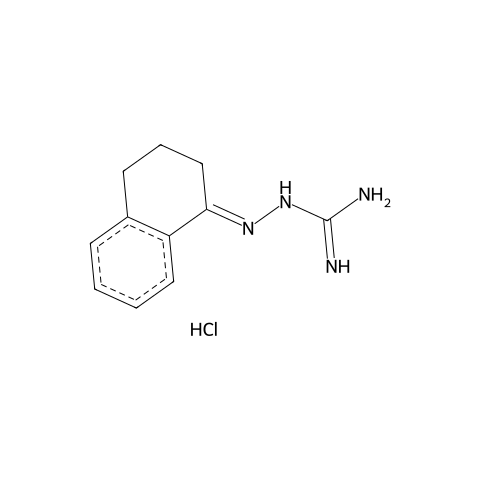 Cl.N=C(N)NN=C1CCCc2ccccc21